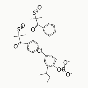 CC(C)([S+]=O)C(=O)c1ccccc1.CC(C)([S+]=O)C(=O)c1ccccc1.CCC(C)c1cc(Cl)ccc1OB([O-])[O-]